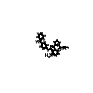 CC#CC(=O)N1CCC[C@H]1c1nc(Cc2ccc(Nc3ccccc3)cc2)c2c(N)nccn12